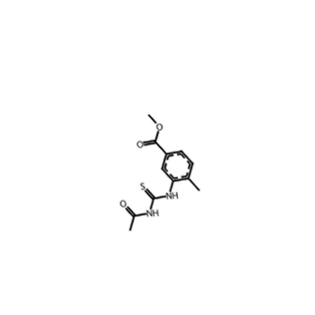 COC(=O)c1ccc(C)c(NC(=S)NC(C)=O)c1